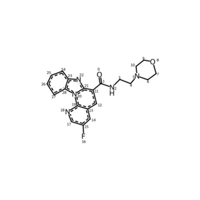 O=C(NCCN1CCOCC1)c1cc2cc(F)cnc2n2c1nc1ccccc12